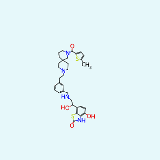 Cc1ccc(C(=O)N2CCCC3(CCN(CCc4cccc(CNCC(O)c5ccc(O)c6[nH]c(=O)sc56)c4)CC3)C2)s1